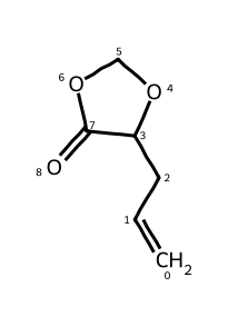 C=CCC1OCOC1=O